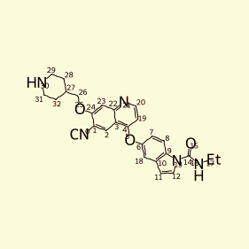 [C-]#[N+]c1cc2c(Oc3ccc4c(ccn4C(=O)NCC)c3)ccnc2cc1OCC1CCNCC1